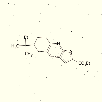 CCOC(=O)c1cc2cc3c(nc2s1)CC[C@H](C(C)(C)CC)C3